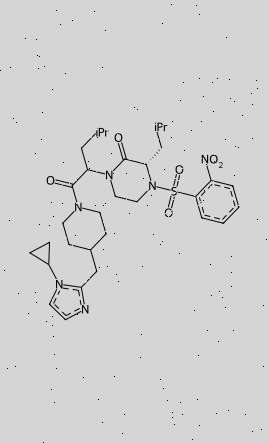 CC(C)CC(C(=O)N1CCC(Cc2nccn2C2CC2)CC1)N1CCN(S(=O)(=O)c2ccccc2[N+](=O)[O-])[C@@H](CC(C)C)C1=O